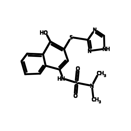 CN(C)S(=O)(=O)Nc1cc(Sc2nc[nH]n2)c(O)c2ccccc12